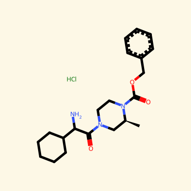 C[C@H]1CN(C(=O)C(N)C2CCCCC2)CCN1C(=O)OCc1ccccc1.Cl